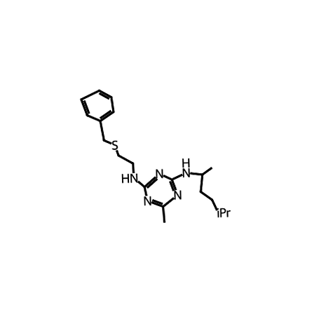 Cc1nc(NCCSCc2ccccc2)nc(NC(C)CCC(C)C)n1